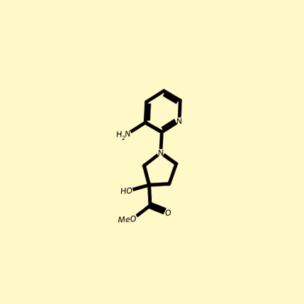 COC(=O)C1(O)CCN(c2ncccc2N)C1